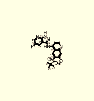 COc1cc2nccc(Nc3n[nH]c4ncc(F)cc34)c2cc1S(=O)(=O)C(C)(C)C